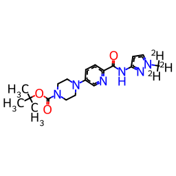 [2H]C([2H])([2H])n1ccc(NC(=O)c2ccc(N3CCN(C(=O)OC(C)(C)C)CC3)cn2)n1